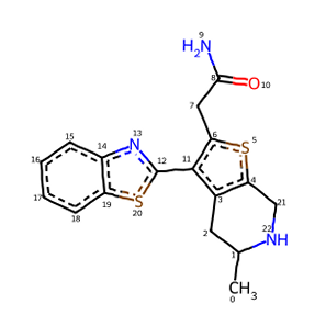 CC1Cc2c(sc(CC(N)=O)c2-c2nc3ccccc3s2)CN1